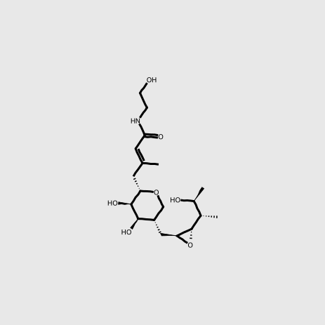 C/C(=C\C(=O)NCCO)C[C@@H]1OC[C@H](C[C@@H]2O[C@H]2[C@@H](C)[C@H](C)O)[C@@H](O)[C@H]1O